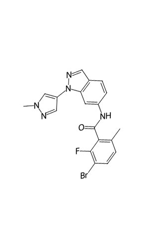 Cc1ccc(Br)c(F)c1C(=O)Nc1ccc2cnn(-c3cnn(C)c3)c2c1